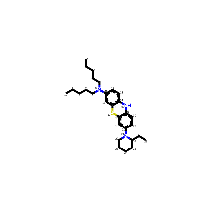 CCCCCN(CCCCC)c1ccc2c(c1)Sc1cc(N3CCCCC3CC)ccc1N2